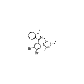 C=C1CN=C(C2=CC=CC=C[C@H]2CC)c2cc(Br)c(Br)cc2N1/C(C)=C\C(C)CC